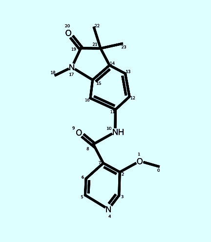 COc1cnccc1C(=O)Nc1ccc2c(c1)N(C)C(=O)C2(C)C